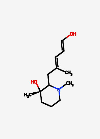 C/C(=C\C=C\O)CC1N(C)CCC[C@]1(C)O